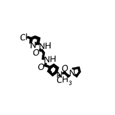 CN(C(=O)CN1CCCC1)c1ccc(C(=O)NCCC(=O)Nc2ccc(Cl)cn2)cc1